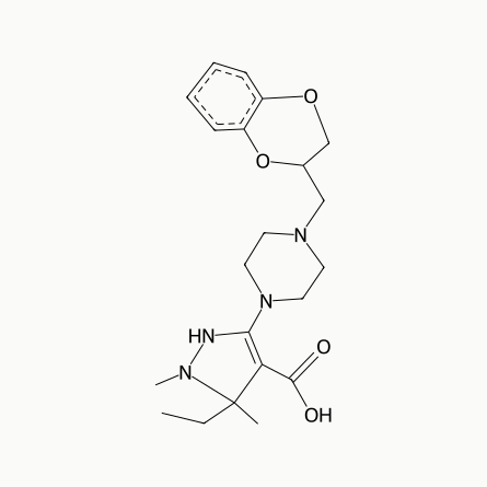 CCC1(C)C(C(=O)O)=C(N2CCN(CC3COc4ccccc4O3)CC2)NN1C